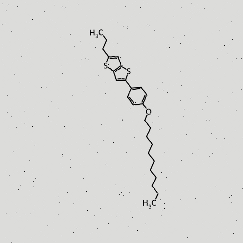 CCCCCCCCCCCOc1ccc(-c2cc3sc(CCC)cc3s2)cc1